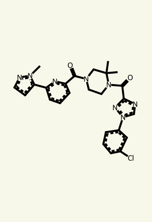 Cn1nccc1-c1cccc(C(=O)N2CCN(C(=O)c3ncn(-c4cccc(Cl)c4)n3)C(C)(C)C2)n1